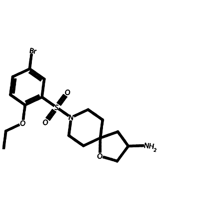 CCOc1ccc(Br)cc1S(=O)(=O)N1CCC2(CC1)CC(N)CO2